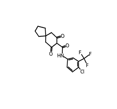 O=C1CC2(CCCC2)CC(=O)C1C(=O)Nc1ccc(Cl)c(C(F)(F)F)c1